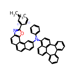 C=C/C=C(\C=C/C)c1nc2ccc3ccc4ccc(N(c5ccccc5)c5ccc6c7c(cccc57)-c5ccccc5-c5ccccc5-6)cc4c3c2o1